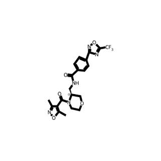 Cc1noc(C)c1C(=O)N1CCOC[C@@H]1CNC(=O)c1ccc(-c2noc(C(F)(F)F)n2)cc1